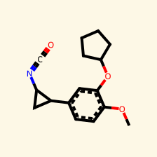 COc1ccc(C2CC2N=C=O)cc1OC1CCCC1